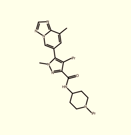 Cc1cc(-c2c(C(C)C)c(C(=O)NC3CCN(C(C)C)CC3)nn2C)cn2ncnc12